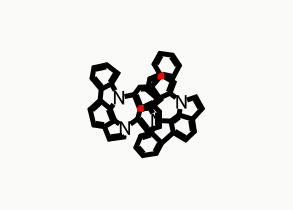 c1ccc(-c2cc(-n3c4ccccc4c4ccc5ccn(-c6ccccc6)c5c43)cc(-n3c4ccccc4c4ccc5ccn(-c6ccccc6)c5c43)c2)cc1